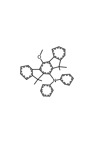 COc1c2c(c(N(c3ccccc3)c3ccccc3)c3c1-c1ccccc1C3(C)C)C(C)(C)c1ccccc1-2